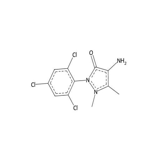 Cc1c(N)c(=O)n(-c2c(Cl)cc(Cl)cc2Cl)n1C